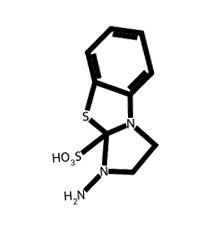 NN1CCN2c3ccccc3SC12S(=O)(=O)O